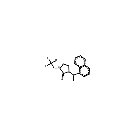 CC(c1cccc2ccccc12)N1CC[C@@H](CC(F)(F)F)C1=O